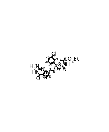 CCOC(=O)C(C)NP(=O)(COCCn1cnc2c(=O)[nH]c(N)nc21)OCc1cccc(Cl)c1